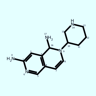 Nc1cc2c(cn1)C=CN(C1CCCNC1)C2N